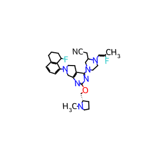 CC(F)=CN1CCN(c2nc(OC[C@@H]3CCCN3C)nc3c2CCN(c2cccc4c2C(F)CCC4)C3)CC1CC#N